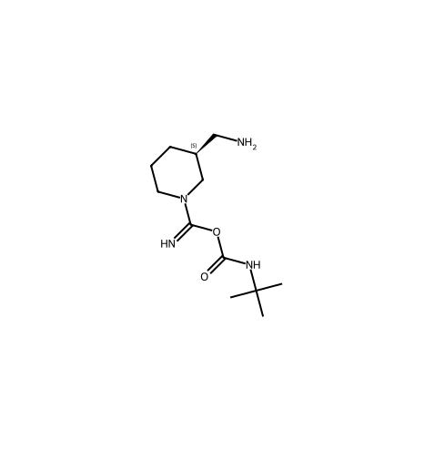 CC(C)(C)NC(=O)OC(=N)N1CCC[C@@H](CN)C1